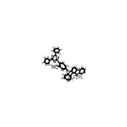 CC1(C)c2ccccc2-c2ccc3c(c21)c1ccccc1n3-c1ccc(-c2nc(-c3ccccc3)nc(-c3ccccc3)n2)c(C#N)c1